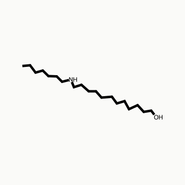 CCCCCCCNCCCCCCCCCCCCO